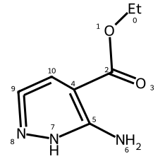 CCOC(=O)C1=C(N)NN=C=C1